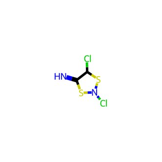 N=C1SN(Cl)SC1Cl